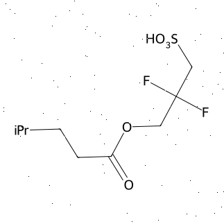 CC(C)CCC(=O)OCC(F)(F)CS(=O)(=O)O